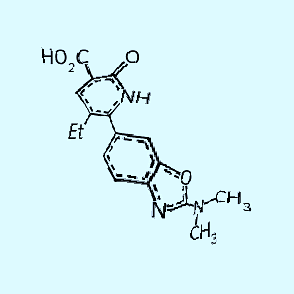 CCc1cc(C(=O)O)c(=O)[nH]c1-c1ccc2nc(N(C)C)oc2c1